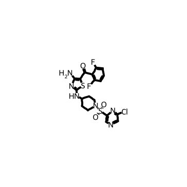 Nc1nc(NC2CCN(S(=O)(=O)c3cncc(Cl)n3)CC2)sc1C(=O)c1c(F)cccc1F